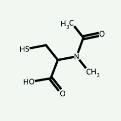 CC(=O)N(C)C(CS)C(=O)O